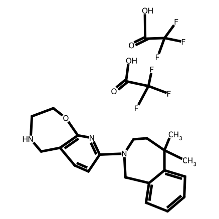 CC1(C)CCN(c2ccc3c(n2)OCCNC3)Cc2ccccc21.O=C(O)C(F)(F)F.O=C(O)C(F)(F)F